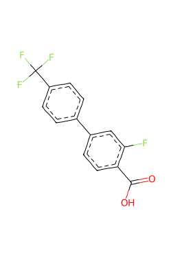 O=C(O)c1ccc(-c2ccc(C(F)(F)F)cc2)cc1F